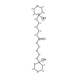 O=C(CCCCCC1(O)CCCCC1)CCCCCC1(O)CCCCC1